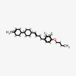 CCCCOc1ccc(CC/C=C/C2CCC(C3CC=C(C)CC3)CC2)c(F)c1F